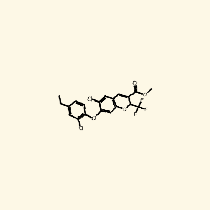 CCc1ccc(Oc2cc3c(cc2Cl)C=C(C(=O)OC)C(C(F)(F)F)O3)c(Cl)c1